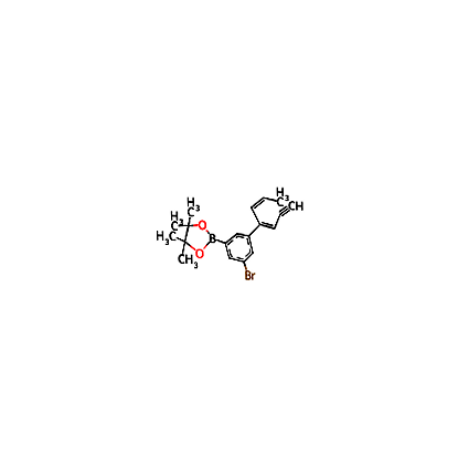 C#C/C=C(\C=C/C)c1cc(Br)cc(B2OC(C)(C)C(C)(C)O2)c1